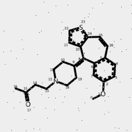 COc1ccc2c(c1)C(=C1CCN(CCC(C)=O)CC1)c1ccsc1C=C2